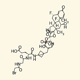 C[C@]12C=CC(=O)C=C1[C@@H](F)C[C@H]1[C@@H]3C[C@H]4O[C@@H](c5ccc(CC67CC(NC(=O)[C@H](CCC(=O)O)NC(=O)CNC(=O)CBr)(C6)C7)cc5)O[C@@]4(C(=O)COP(=O)(O)O)[C@@]3(C)C[C@H](O)[C@@]12F